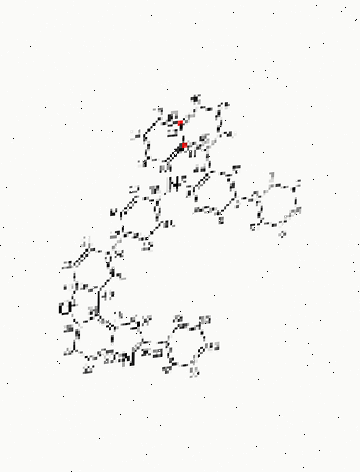 C1=CCCC(c2ccc(N(c3ccccc3)c3ccc(-c4ccc5oc6ccc7nc(-c8ccccc8)sc7c6c5c4)cc3)c(-c3ccccc3)c2)=C1